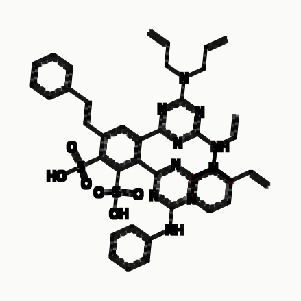 C=CCN(CC=C)c1nc(Nc2ccccc2)nc(-c2cc(C=Cc3ccccc3)c(S(=O)(=O)O)c(S(=O)(=O)O)c2-c2nc(Nc3ccccc3)nc(N(CC=C)CC=C)n2)n1